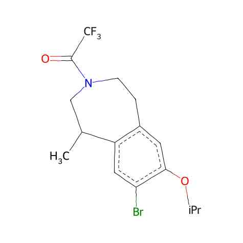 CC(C)Oc1cc2c(cc1Br)C(C)CN(C(=O)C(F)(F)F)CC2